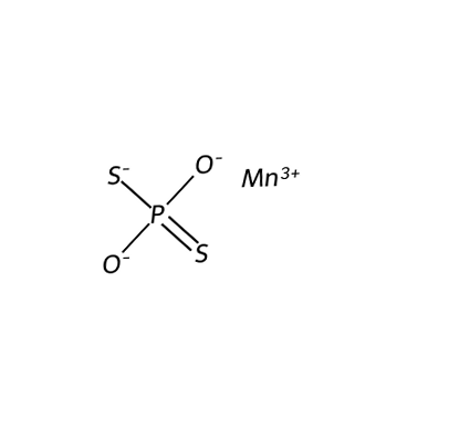 [Mn+3].[O-]P([O-])(=S)[S-]